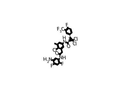 Cc1cc(NC(=O)[C@H]2[C@H](c3ccc(F)c(C(F)(F)F)c3)C2(Cl)Cl)cc(CC(=O)Nc2cc(N)c(F)cc2F)c1Cl